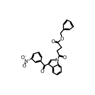 O=C(CCC(=O)n1cc(C(=O)c2cccc([N+](=O)[O-])c2)c2ccccc21)OCc1ccccc1